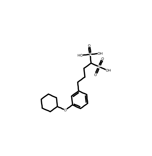 O=P(O)(O)C(CCCc1cccc(OC2CCCCC2)c1)S(=O)(=O)O